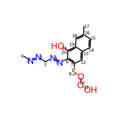 CN=NCN=Nc1c(SOOO)cc2ccc(C)cc2c1O